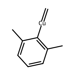 [CH2]=[Cu][c]1c(C)cccc1C